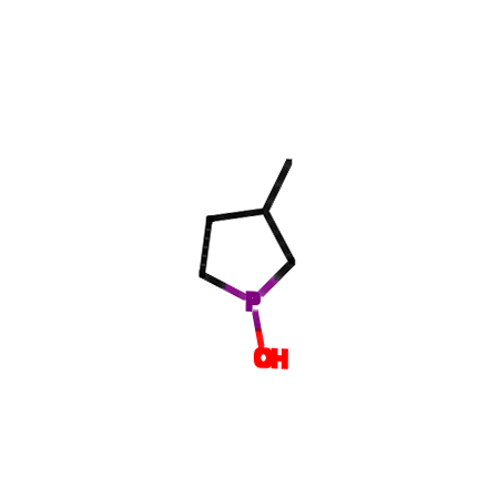 CC1CCP(O)C1